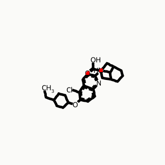 CCC1CCC(Oc2ccc3nc(NC4C5CCCC4CC(C(=O)O)C5)ccc3c2Cl)CC1